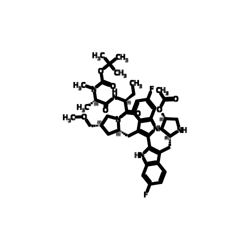 CC[C@H](NC(=O)[C@H](C)N(C)C(=O)OC(C)(C)C)C(=O)N1C[C@@H](COC)C[C@H]1Cc1c(-c2[nH]c3cc(F)ccc3c2C[C@@H]2C[C@H](OC(C)=O)CN2)[nH]c2cc(F)ccc12